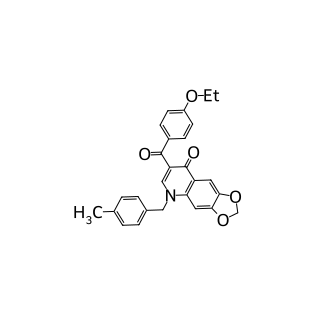 CCOc1ccc(C(=O)c2cn(Cc3ccc(C)cc3)c3cc4c(cc3c2=O)OCO4)cc1